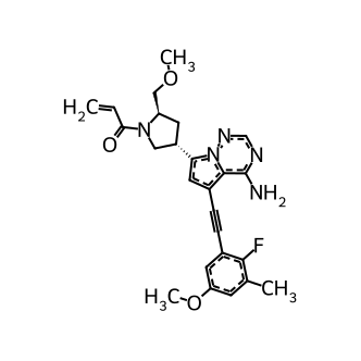 C=CC(=O)N1C[C@@H](c2cc(C#Cc3cc(OC)cc(C)c3F)c3c(N)ncnn23)C[C@@H]1COC